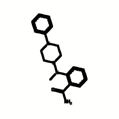 CN(c1ccccc1C(N)=O)N1CCN(c2ccccc2)CC1